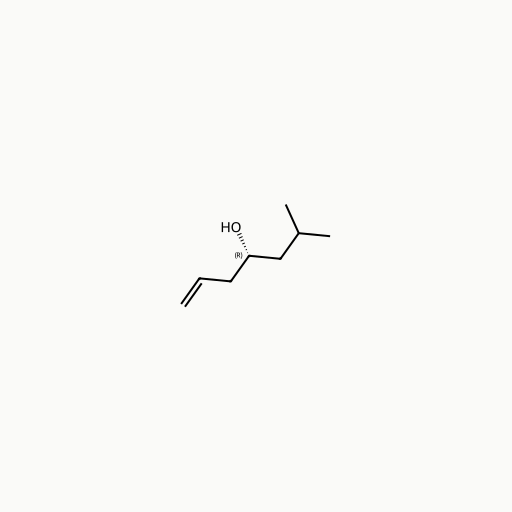 C=CC[C@H](O)CC(C)C